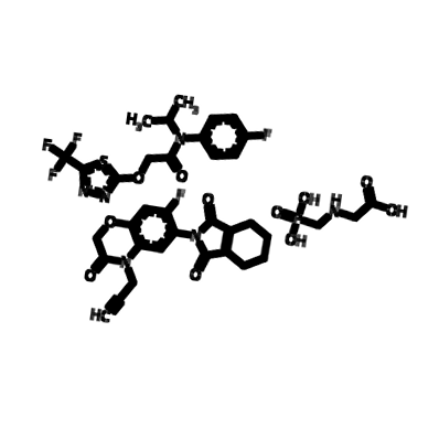 C#CCN1C(=O)COc2cc(F)c(N3C(=O)C4=C(CCCC4)C3=O)cc21.CC(C)N(C(=O)COc1nnc(C(F)(F)F)s1)c1ccc(F)cc1.O=C(O)CNCP(=O)(O)O